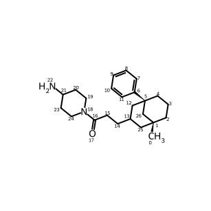 C[C@@]12CCC[C@@](c3ccccc3)(CC(CCC(=O)N3CCC(N)CC3)C1)C2